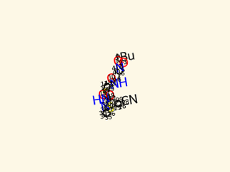 CC(C)(C)OC(=O)N1CCC(CC(=O)Nc2cccc(S(=O)(=O)NC(Cc3cccc(C#N)c3)c3nc4ccccc4s3)c2)CC1